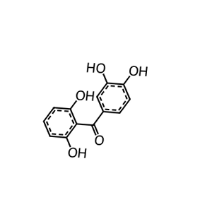 O=C(c1ccc(O)c(O)c1)c1c(O)cccc1O